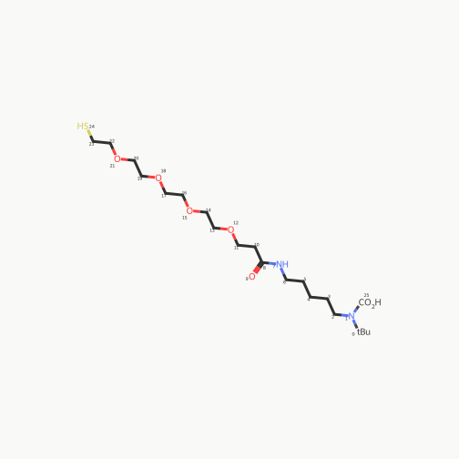 CC(C)(C)N(CCCCCNC(=O)CCOCCOCCOCCOCCS)C(=O)O